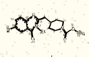 CCn1c(CC2CCN(C(=O)OC(C)(C)C)CC2)nc2ccc(Br)cc2c1=O